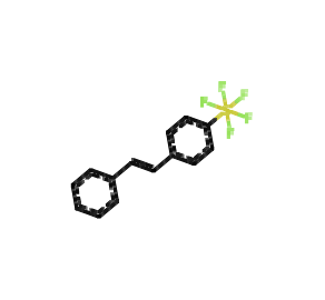 FS(F)(F)(F)(F)c1ccc(/C=C/c2ccccc2)cc1